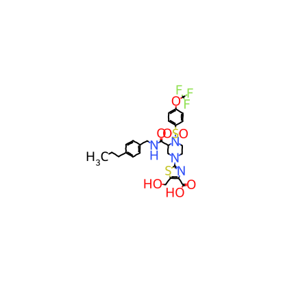 CCCc1ccc(CNC(=O)C2CN(c3nc(C(=O)O)c(CO)s3)CCN2S(=O)(=O)c2ccc(OC(F)(F)F)cc2)cc1